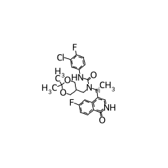 C[C@H](c1c[nH]c(=O)c2ccc(F)cc12)N(CC1COC(C)(C)OC1)C(=O)Nc1ccc(F)c(Cl)c1